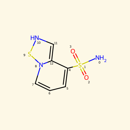 NS(=O)(=O)C1=CC=CN2SNC=C12